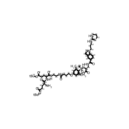 COC(=O)[C@H](CNC(=O)c1ccc2c(cnn2CCCNC2=NCCCN2)c1)NS(=O)(=O)c1c(C)cc(OCCCC(=O)NCCNC(=O)C(CCC(=O)OC(C)(C)C)NC(=O)[C@@H](N)CCC(=O)OC(C)(C)C)cc1C